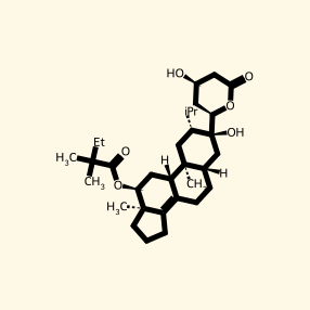 CCC(C)(C)C(=O)O[C@H]1C[C@H]2C(=C3CCC[C@]31C)CC[C@H]1C[C@@](O)([C@H]3C[C@@H](O)CC(=O)O3)[C@@H](C(C)C)C[C@@]12C